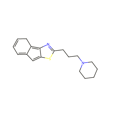 C1=CCC2=c3nc(CCCN4CCCCC4)sc3=CC2=C1